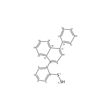 SSc1ccccc1-c1ccc(-c2ccccc2)c2ccccc12